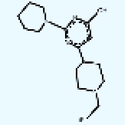 C[C](C)CN1CCC(c2cc(O)nc(N3CCCCC3)n2)CC1